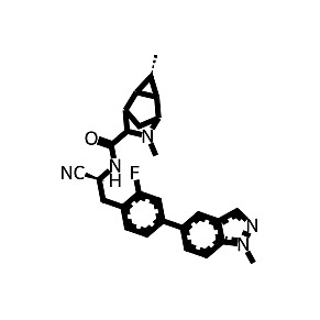 C[C@H]1C2C3CC(C21)N(C)C3C(=O)N[C@H](C#N)Cc1ccc(-c2ccc3c(cnn3C)c2)cc1F